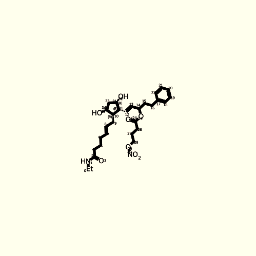 CCNC(=O)CCCC=CC[C@@H]1[C@@H](C=CC(CCc2ccccc2)OC(=O)CCCO[N+](=O)[O-])[C@H](O)C[C@@H]1O